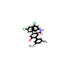 Cc1cc(C2=C[C@@]3(C(=O)Nc4cc(Cl)ccc43)[C@H](C3C=CC=C(Cl)C3)CC2=O)cc(C(C)(C)C)c1